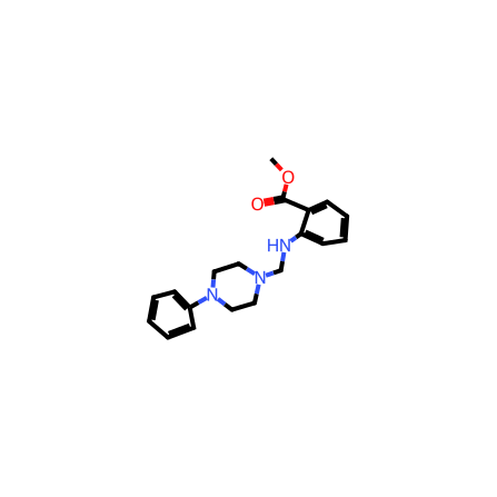 COC(=O)c1ccccc1NCN1CCN(c2ccccc2)CC1